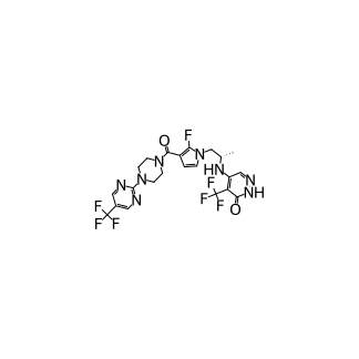 C[C@@H](Cn1ccc(C(=O)N2CCN(c3ncc(C(F)(F)F)cn3)CC2)c1F)Nc1cn[nH]c(=O)c1C(F)(F)F